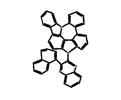 c1ccc2c(-c3nc4ccccc4nc3-n3c4cccc5c6ccccc6n6c7ccccc7c7ccc3c(c54)c76)cccc2c1